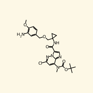 COc1ccc(COCC2(NC(=O)c3cnc4c(N(C)C(=O)OC(C)(C)C)cc(Cl)nn34)CC2)cc1N